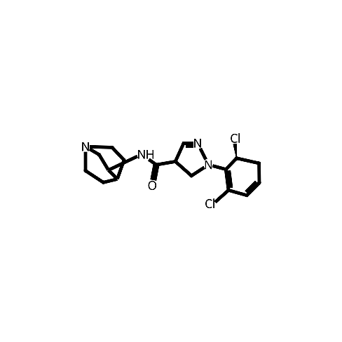 O=C(NC1CN2CCC1CC2)C1C=NN(C2=C(Cl)C=CC[C@@H]2Cl)C1